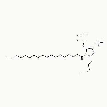 CCCCCCCCCCCCCCCCCCCCCCCCCC(=O)N1[C@@H](CCCCCCCCCCCCC)C[C@@H](O[Si](C)(C)C(C)(C)C)[C@@H]1CO[Si](C)(C)C(C)(C)C